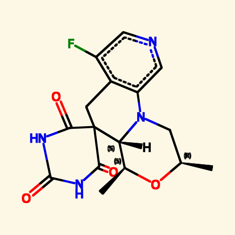 C[C@@H]1CN2c3cncc(F)c3CC3(C(=O)NC(=O)NC3=O)[C@H]2[C@H](C)O1